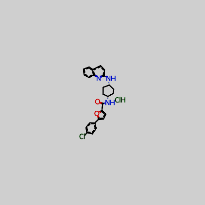 Cl.O=C(N[C@H]1CC[C@@H](Nc2ccc3ccccc3n2)CC1)c1ccc(-c2ccc(Cl)cc2)o1